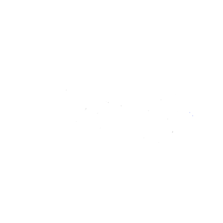 CCCC1CCC(C2CCC(C3CCCC(C#N)(CC)C3)CC2)CC1